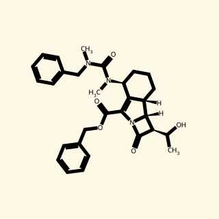 CC(O)[C@H]1C(=O)N2C(C(=O)OCc3ccccc3)=C3[C@H](CCC[C@@H]3N(C)C(=O)N(C)Cc3ccccc3)[C@H]12